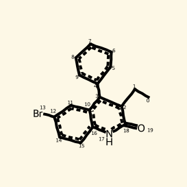 CCc1c(-c2ccccc2)c2cc(Br)ccc2[nH]c1=O